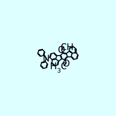 COc1c2c3cccc4cccc(c2c(OC)c2c5ccc(N(c6ccccc6)c6ccccc6)c6cccc(c12)c65)c43